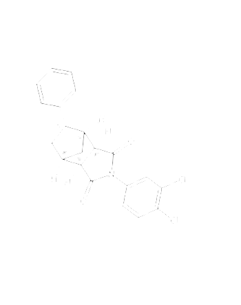 O=C1[C@@H]2[C@H]3C[C@H](C[C@@H]3c3ccccc3)[C@@H]2C(=O)N1c1ccc(Cl)c(Cl)c1